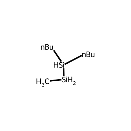 CCCC[SiH](CCCC)[SiH2]C